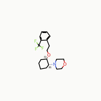 FC(F)(F)c1ccccc1CCO[C@H]1CCCC[C@H]1N1CCOCC1